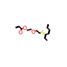 C=C/C=C\C(=C/C)SCCOCCOC(=O)C=C